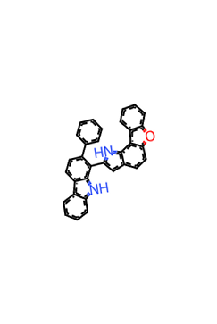 c1ccc(-c2ccc3c([nH]c4ccccc43)c2-c2cc3ccc4oc5ccccc5c4c3[nH]2)cc1